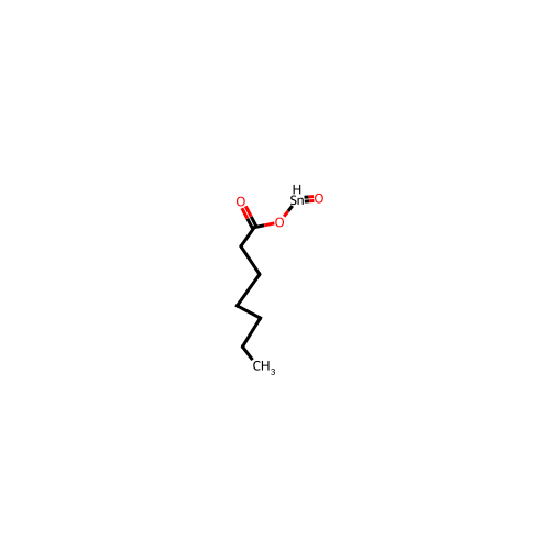 CCCCCCC(=O)[O][SnH]=[O]